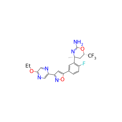 CCOc1cnc(-c2cc(-c3ccc(F)c([C@]4(C)C[C@@H](C(F)(F)F)OC(N)=N4)c3)on2)cn1